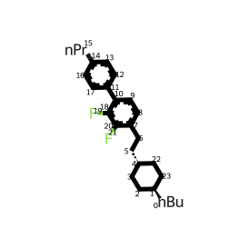 CCCC[C@H]1CC[C@H](CCc2ccc(-c3ccc(CCC)cc3)c(F)c2F)CC1